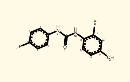 O=C(Nc1ccc(F)cc1)Nc1ccc(O)cc1F